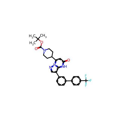 CC(C)(C)OC(=O)N1CCC(c2cc(=O)[nH]c3c(-c4cccc(-c5ccc(C(F)(F)F)cc5)c4)cnn23)CC1